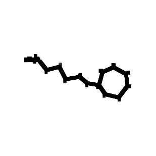 CCCCCCCCCCCCC1CCCCCC1